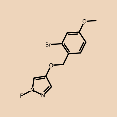 COc1ccc(COc2cnn(F)c2)c(Br)c1